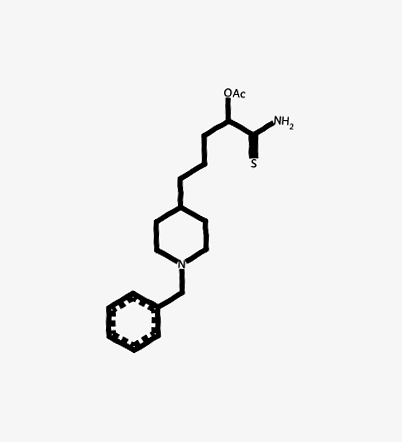 CC(=O)OC(CCCC1CCN(Cc2ccccc2)CC1)C(N)=S